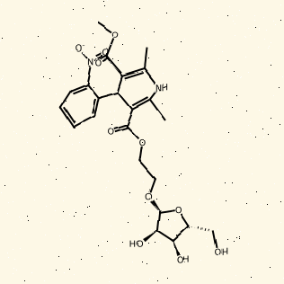 COC(=O)C1=C(C)NC(C)=C(C(=O)OCCO[C@H]2O[C@H](CO)[C@@H](O)[C@H]2O)C1c1ccccc1[N+](=O)[O-]